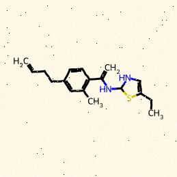 C=CCCc1ccc(C(=C)NC2NC=C(CC)S2)c(C)c1